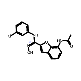 CC(=O)Nc1cccc2cc(/C(=N\O)Nc3cccc(Cl)c3)oc12